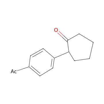 CC(=O)c1ccc(C2CCCCC2=O)cc1